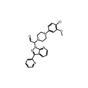 COc1cc(N2CCN(C(C=O)n3nc(-c4ccccn4)c4cccnc43)CC2)ccc1Cl